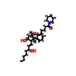 CCCCC[C@H](O)C=C[C@@H]1[C@H]2c3cccc(CCCC(=O)N4CCCCC4)c3O[C@H]2C[C@H]1O